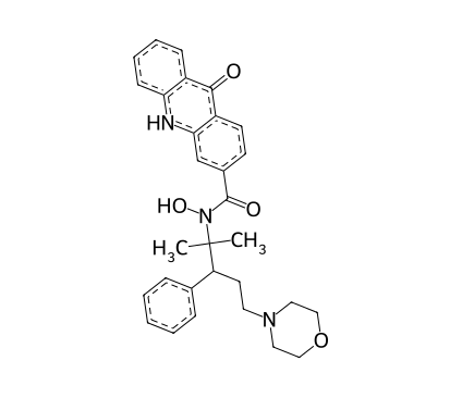 CC(C)(C(CCN1CCOCC1)c1ccccc1)N(O)C(=O)c1ccc2c(=O)c3ccccc3[nH]c2c1